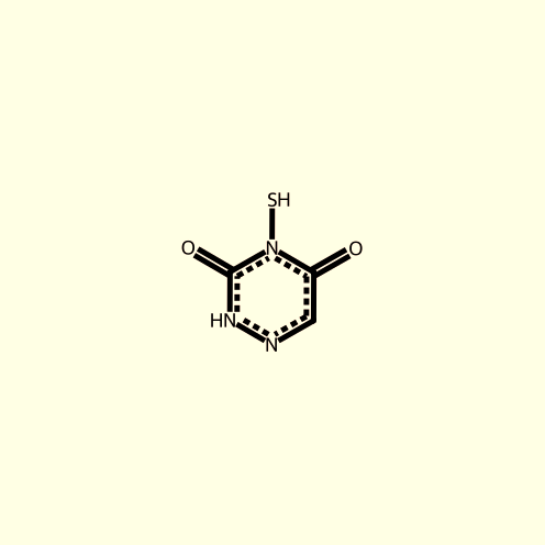 O=c1cn[nH]c(=O)n1S